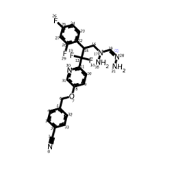 N#Cc1ccc(COc2ccc(C(F)(F)C(CN(N)/C=N\N)c3ccc(F)cc3F)nc2)cc1